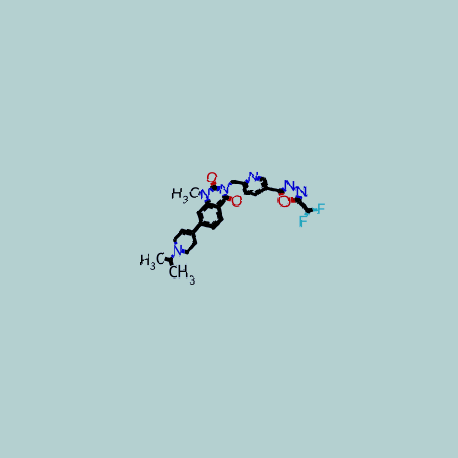 CC(C)N1CC=C(c2ccc3c(=O)n(Cc4ccc(-c5nnc(C(F)F)o5)cn4)c(=O)n(C)c3c2)CC1